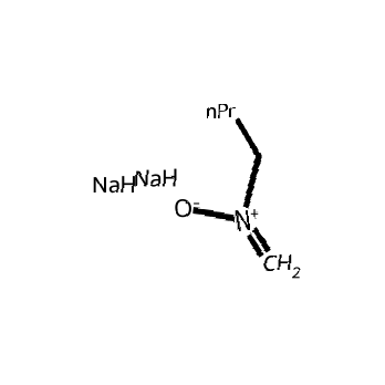 C=[N+]([O-])CCCC.[NaH].[NaH]